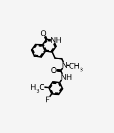 Cc1cc(NC(=O)N(C)CCc2c[nH]c(=O)c3ccccc23)ccc1F